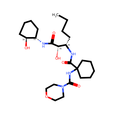 CCCC[C@H](NC(=O)C1(NC(=O)N2CCOCC2)CCCCC1)[C@H](O)C(=O)N[C@H]1CCCC[C@@H]1O